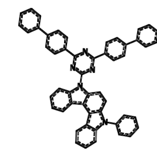 c1ccc(-c2ccc(-c3nc(-c4ccc(-c5ccccc5)cc4)nc(-n4c5ccccc5c5c6c7ccccc7n(-c7ccccc7)c6ccc54)n3)cc2)cc1